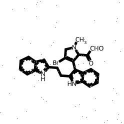 CN1CC(Br)=C(c2c(CCc3cc4ccccc4[nH]3)[nH]c3ccccc23)C1C(=O)C=O